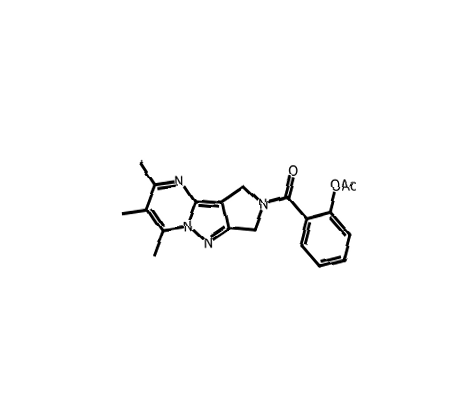 CC(=O)Oc1ccccc1C(=O)N1Cc2nn3c(C)c(C)c(C)nc3c2C1